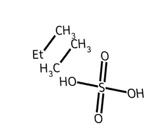 CC.CCC.O=S(=O)(O)O